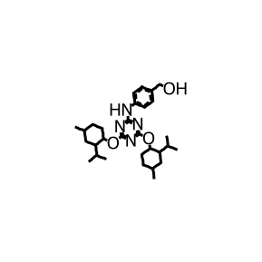 CC1CCC(Oc2nc(Nc3ccc(CO)cc3)nc(OC3CCC(C)CC3C(C)C)n2)C(C(C)C)C1